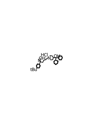 CC(C)(C)c1ccc(C(CCCCN2CCC(C(O)(c3ccccc3)c3ccccc3)CC2)=NO)cc1.Cl